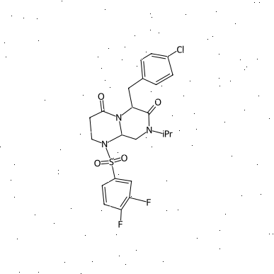 CC(C)N1CC2N(C(=O)CCN2S(=O)(=O)c2ccc(F)c(F)c2)C(Cc2ccc(Cl)cc2)C1=O